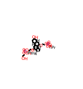 CCCOP(=O)(O)OCCO[C@@H]1C[C@@H]2C[C@H](O)CC[C@]2(C)[C@H]2C[C@H](OCCOP(=O)(O)OCCO)[C@]3(C)[C@@H]([C@H](C)CCC)CC[C@H]3[C@H]12